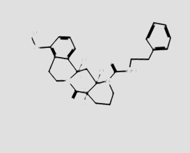 COc1cccc2c1CCN1C(=O)[C@H]3CCCN(C(=O)NCCc4ccccc4)[C@H]3C[C@@H]21